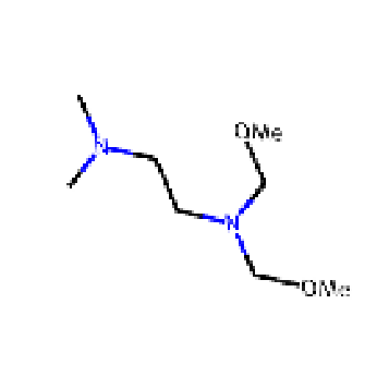 COCN(CCN(C)C)COC